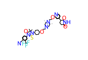 C[C@@H]1CN(CCO[C@H]2CC[C@H](N3C(=S)N(c4ccc(C#N)c(C(F)(F)F)c4)C(=O)C3(C)C)CC2)C[C@H](C)N1CCOc1cc(C2CCC(=O)NC2=O)ccn1